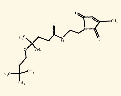 CC1=CC(=O)N(CCNC(=O)CCC(C)(C)OCCC(C)(C)C)C1=O